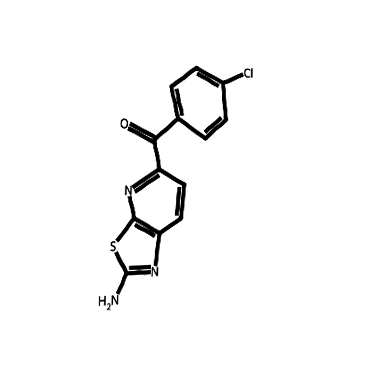 Nc1nc2ccc(C(=O)c3ccc(Cl)cc3)nc2s1